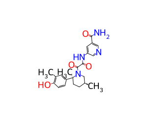 Cc1cc([C@]2(C)CC[C@H](C)CN2C(=O)C(=O)Nc2cncc(C(N)=O)c2)ccc1O